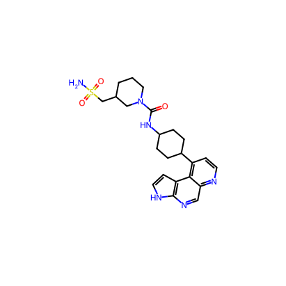 NS(=O)(=O)CC1CCCN(C(=O)NC2CCC(c3ccnc4cnc5[nH]ccc5c34)CC2)C1